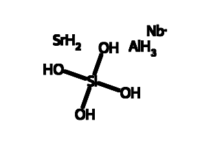 O[Si](O)(O)O.[AlH3].[Nb].[SrH2]